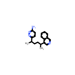 CC(CCC(C)c1cncc2ccccc12)c1ccc(N)nn1